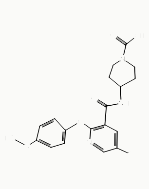 CSc1ccc(Oc2ncc(F)cc2C(=O)NC2CCN(C(C)=O)CC2)cc1